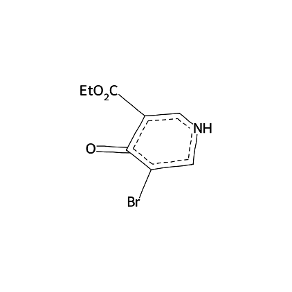 CCOC(=O)c1c[nH]cc(Br)c1=O